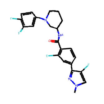 Cn1cc(F)c(-c2ccc(C(=O)NC3CCCN(c4ccc(F)c(F)c4)C3)c(F)c2)n1